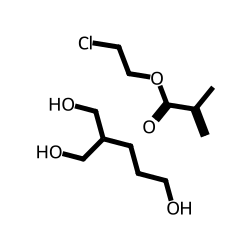 C=C(C)C(=O)OCCCl.OCCCC(CO)CO